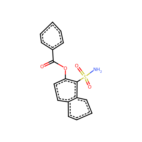 NS(=O)(=O)c1c(OC(=O)c2ccccc2)ccc2ccccc12